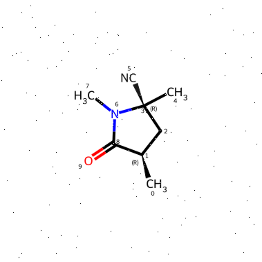 C[C@@H]1C[C@](C)(C#N)N(C)C1=O